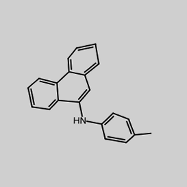 Cc1ccc(Nc2cc3ccccc3c3ccccc23)cc1